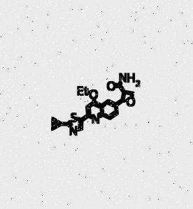 CCOc1cc(-c2cnc(C3CC3)s2)nc2ccc(C3OCC3C(N)=O)cc12